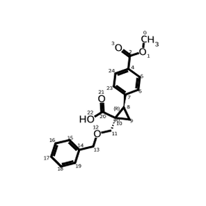 COC(=O)c1ccc([C@H]2C[C@@]2(COCc2ccccc2)C(=O)O)cc1